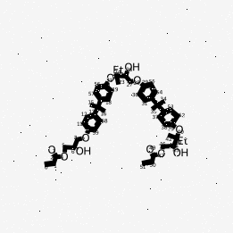 C=CC(=O)OCC(O)COc1ccc(C(C)(C)c2ccc(OC(C)(CC)C(O)COc3ccc(C(C)(C)c4ccc(OC(C)(CC)C(O)COC(=O)C=C)cc4)cc3)cc2)cc1